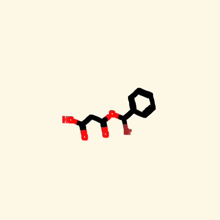 O=C(O)CC(=O)OC(Br)c1ccccc1